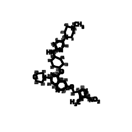 CN1CCN(c2cnc(NC3CCC(Oc4nc(N5CCOCC5)cc5ncc(OCc6cnc([N+](=O)[O-])n6C)cc45)CC3)nc2)CC1